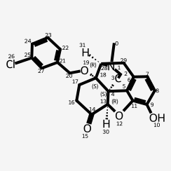 CN1CC[C@]23c4c5ccc(O)c4O[C@H]2C(=O)CC[C@@]3(OCc2cccc(Cl)c2)[C@H]1C5